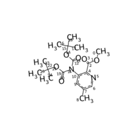 COC(=O)c1ncc(C)cc1N(C(=O)OC(C)(C)C)C(=O)OC(C)(C)C